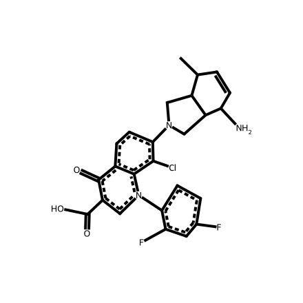 CC1C=CC(N)C2CN(c3ccc4c(=O)c(C(=O)O)cn(-c5ccc(F)cc5F)c4c3Cl)CC12